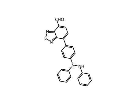 O=Cc1ccc(-c2ccc(N(Nc3ccccc3)c3ccccc3)cc2)c2nsnc12